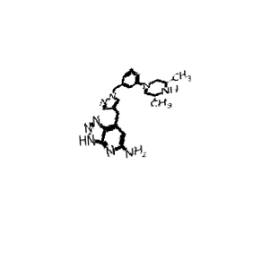 C[C@@H]1CN(c2cccc(Cn3cc(Cc4cc(N)nc5[nH]nnc45)cn3)c2)C[C@H](C)N1